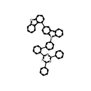 c1ccc(-c2nc(-c3ccccc3)nc(-c3ccccc3-c3cccc(-n4c5ccccc5c5cc(-c6cccc7oc8ccccc8c67)ccc54)c3)n2)cc1